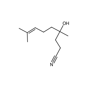 CC(C)=CCCC(C)(O)CCC#N